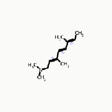 C/C=C(C)/C=C/C(C)=C/CN(C)C